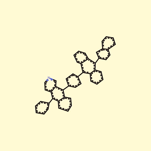 c1ccc(-c2c3ccccc3c(-c3ccc(-c4c5ccccc5c(-c5ccc6ccccc6c5)c5ccccc45)cc3)c3cnccc23)cc1